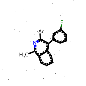 CC(=O)c1nc(C)c2ccccc2c1-c1cccc(F)c1